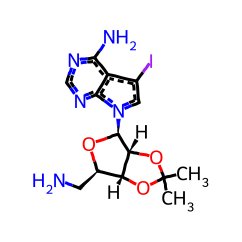 CC1(C)O[C@@H]2[C@H](O1)[C@@H](CN)O[C@H]2n1cc(I)c2c(N)ncnc21